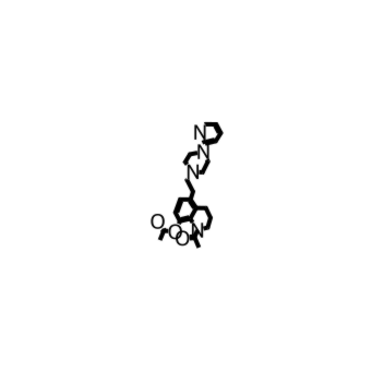 CC(=O)Oc1ccc(CCN2CCN(c3ccccn3)CC2)c2c1N(C(C)=O)CCC2